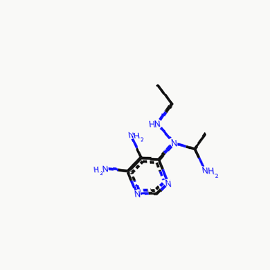 CCNN(c1ncnc(N)c1N)C(C)N